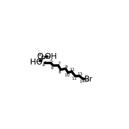 O=P(O)(O)CCCCCCCCCCCBr